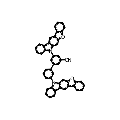 N#Cc1cc(-c2cccc(-n3c4ccccc4c4cc5c(cc43)oc3ccccc35)c2)cc(-n2c3ccccc3c3cc4c(cc32)oc2ccccc24)c1